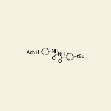 CC(=O)Nc1ccc(NC(=O)NC(=O)c2ccc(C(C)(C)C)cc2)cc1